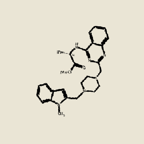 COC(=O)[C@@H](Nc1nc(CN2CCN(Cc3cc4ccccc4n3C)CC2)nc2ccccc12)C(C)C